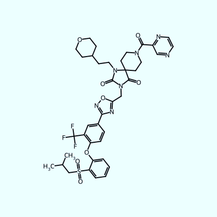 CC(C)CS(=O)(=O)c1ccccc1Oc1ccc(-c2noc(CN3C(=O)N(CCC4CCOCC4)C4(CCN(C(=O)c5cnccn5)CC4)C3=O)n2)cc1C(F)(F)F